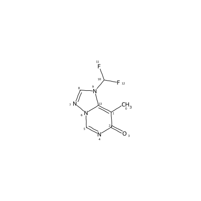 Cc1c(=O)ncn2ncn(C(F)F)c12